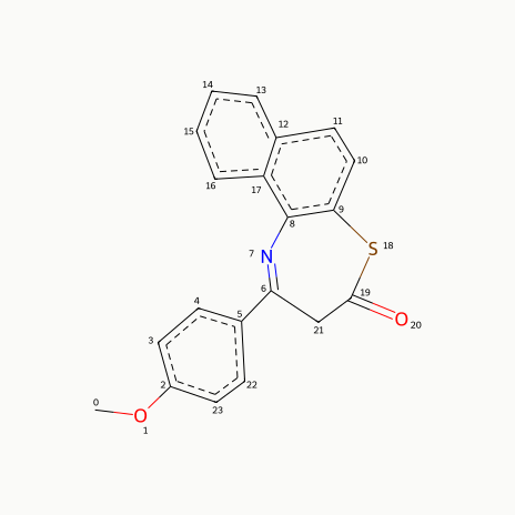 COc1ccc(C2=Nc3c(ccc4ccccc34)SC(=O)C2)cc1